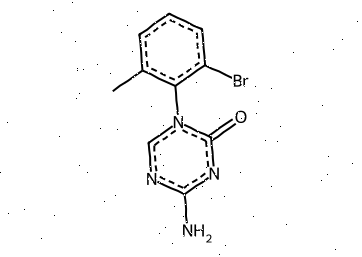 Cc1cccc(Br)c1-n1cnc(N)nc1=O